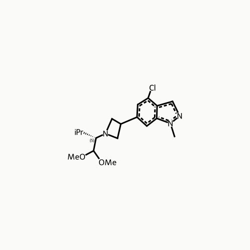 COC(OC)[C@H](C(C)C)N1CC(c2cc(Cl)c3cnn(C)c3c2)C1